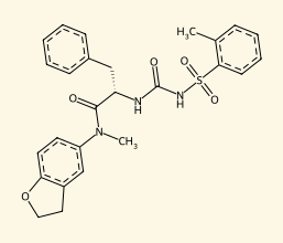 Cc1ccccc1S(=O)(=O)NC(=O)N[C@@H](Cc1ccccc1)C(=O)N(C)c1ccc2c(c1)CCO2